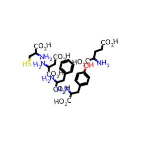 NC(CC(=O)O)C(=O)O.NC(CCC(=O)O)C(=O)O.NC(CS)C(=O)O.NC(Cc1ccc(O)cc1)C(=O)O.NC(Cc1ccccc1)C(=O)O